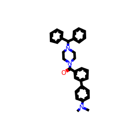 CN(C)c1ccc(-c2cccc(C(=O)N3CCN(C(c4ccccc4)c4ccccc4)CC3)c2)cc1